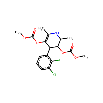 COC(=O)OC1=C(C)NC(C)C(OC(=O)OC)C1c1cccc(Cl)c1F